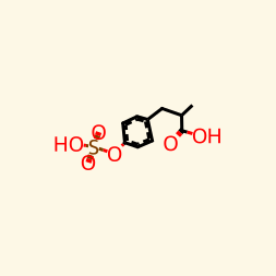 CC(Cc1ccc(OS(=O)(=O)O)cc1)C(=O)O